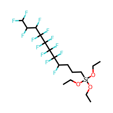 CCO[Si](CCCC(F)C(F)(F)C(F)(F)C(F)(F)C(F)(F)C(F)C(F)C(F)F)(OCC)OCC